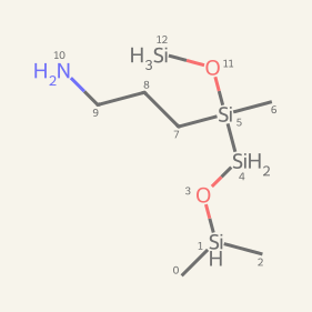 C[SiH](C)O[SiH2][Si](C)(CCCN)O[SiH3]